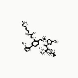 Cc1ncsc1-c1ccc(CNC(=O)[C@@H]2C[C@@H](O)CN2C(=O)[C@@H](NC(=O)C2(F)CC2)C(C)(C)C)c(OCC(=O)NCCCCN)c1